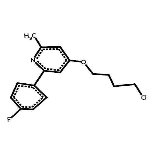 Cc1cc(OCCCCCl)cc(-c2ccc(F)cc2)n1